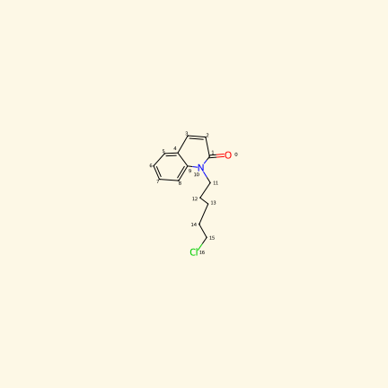 O=c1ccc2ccccc2n1CCCCCCl